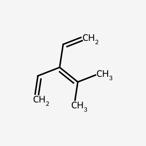 C=CC(C=C)=C(C)C